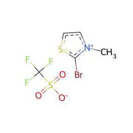 C[n+]1ccsc1Br.O=S(=O)([O-])C(F)(F)F